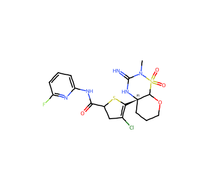 CN1C(=N)N[C@@]2(C3=C(Cl)CC(C(=O)Nc4cccc(F)n4)S3)CCCOC2S1(=O)=O